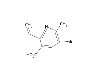 C=Cc1nc(C)c(Br)cc1C(=O)O